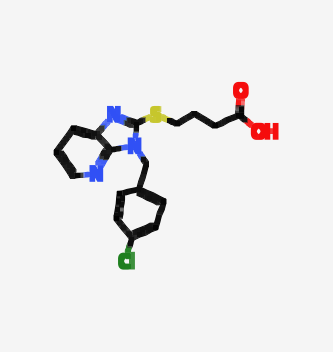 O=C(O)CCCSc1nc2cccnc2n1Cc1ccc(Cl)cc1